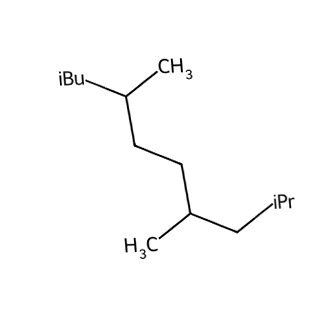 [CH2]C(C)CC(C)CCC(C)C(C)CC